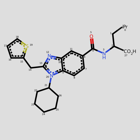 CC(C)CC(NC(=O)c1ccc2c(c1)nc(Cc1cccs1)n2C1CCCCC1)C(=O)O